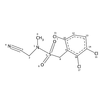 CN(CC#N)S(=O)(=O)Cc1c(Cl)ccc(Cl)c1Cl